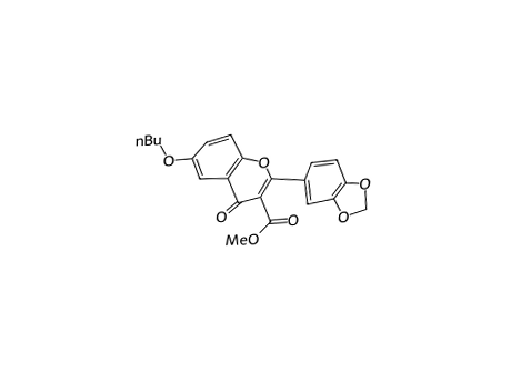 CCCCOc1ccc2oc(-c3ccc4c(c3)OCO4)c(C(=O)OC)c(=O)c2c1